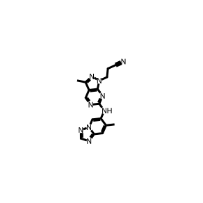 Cc1cc2ncnn2cc1Nc1ncc2c(C)nn(CCC#N)c2n1